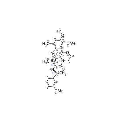 COc1cccc(/C(C)=N/C(C(=O)N2CCOCC2(C)C)=C(\C)CCc2cc(OC)c(OC(C)C)cc2C)c1